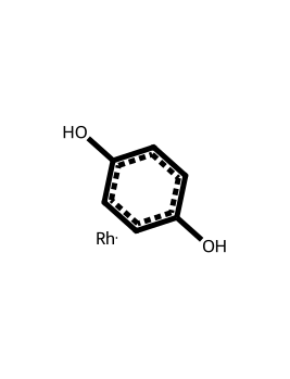 Oc1ccc(O)cc1.[Rh]